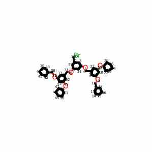 BrCc1cc(OCc2cc(OCc3ccccc3)cc(Oc3ccccc3)c2)cc(OCc2cc(OCc3ccccc3)cc(Oc3ccccc3)c2)c1